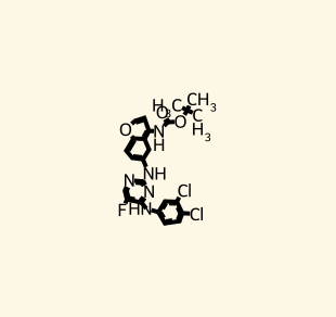 CC(C)(C)OC(=O)NC1=C2CC(Nc3ncc(F)c(Nc4ccc(Cl)c(Cl)c4)n3)=CC=C2OC=C1